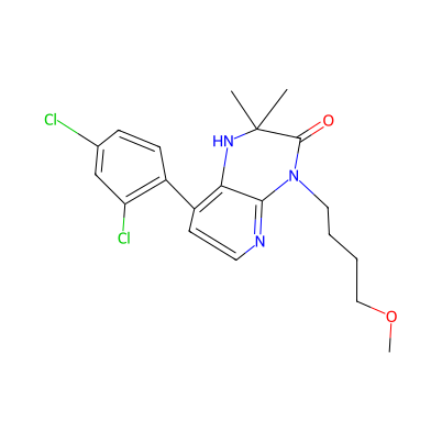 COCCCCN1C(=O)C(C)(C)Nc2c(-c3ccc(Cl)cc3Cl)ccnc21